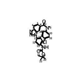 CN(C(=O)c1ccc2nnn(-c3ccc(NC(=O)OC(C)(C)C)cc3)c2c1)c1ccc(Cl)cc1